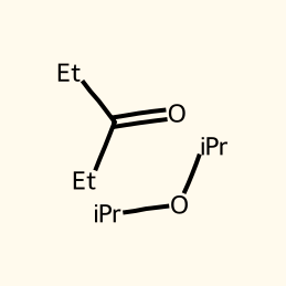 CC(C)OC(C)C.CCC(=O)CC